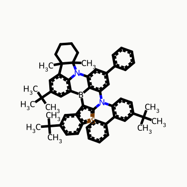 CC(C)(C)c1ccc(N2c3cc(-c4ccccc4)cc4c3B(c3cc(C(C)(C)C)cc5c3N4C3(C)CCCCC53C)c3c2sc2ccc(C(C)(C)C)cc32)c(-c2ccccc2)c1